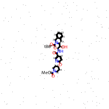 COC(=O)N1CCC(Oc2ccc(C(=O)NC[C@@H](O)[C@@H]3Cc4ccccc4CN3C(=O)OC(C)(C)C)cn2)CC1